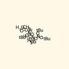 Cc1ccc(N(c2ccc(C(C)(C)C)cc2)c2ccc(C(C)(C)C)cc2)cc1N(c1cccc(N(c2ccc(C(C)(C)C)cc2)c2c(I)sc3cc4c(cc23)-c2ccccc2C4(C)C)c1C)c1cccc2sc3ccccc3c12